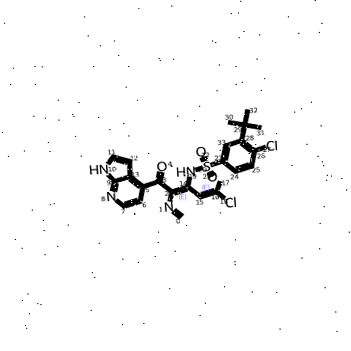 C=N/C(C(=O)c1ccnc2[nH]ccc12)=C(\C=C(/C)Cl)NS(=O)(=O)c1ccc(Cl)c(C(C)(C)C)c1